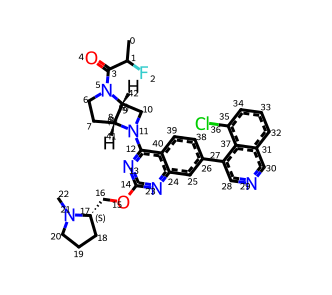 CC(F)C(=O)N1CC[C@@H]2[C@H]1CN2c1nc(OC[C@@H]2CCCN2C)nc2cc(-c3cncc4cccc(Cl)c34)ccc12